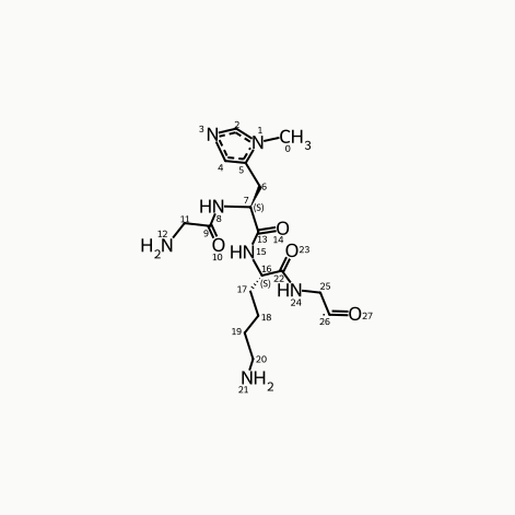 Cn1cncc1C[C@H](NC(=O)CN)C(=O)N[C@@H](CCCCN)C(=O)NC[C]=O